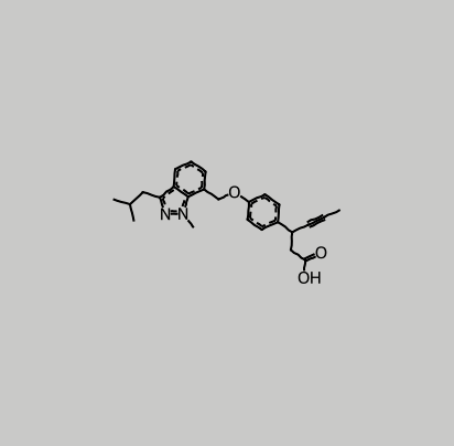 CC#CC(CC(=O)O)c1ccc(OCc2cccc3c(CC(C)C)nn(C)c23)cc1